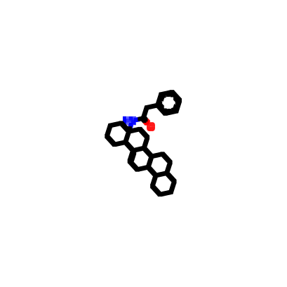 O=C(Cc1ccccc1)NC12CCCCC1C1=CCC3C4CCCCC4CCC3C1CC2